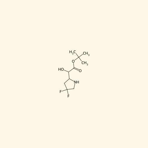 CC(C)(C)OC(=O)C(O)C1CC(F)(F)CN1